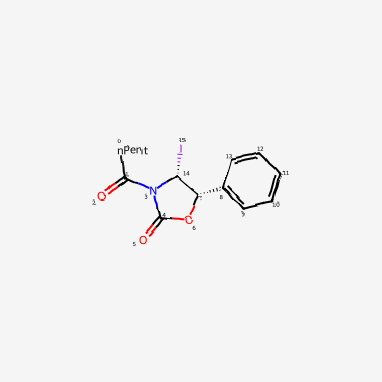 CCCCCC(=O)N1C(=O)O[C@@H](c2ccccc2)[C@H]1I